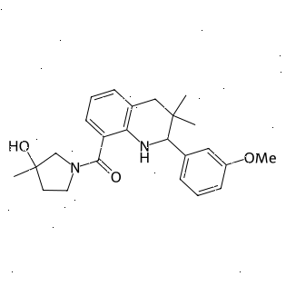 COc1cccc(C2Nc3c(cccc3C(=O)N3CCC(C)(O)C3)CC2(C)C)c1